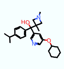 CC(C)c1ccc(C(O)(c2cncc(OC3CCCCC3)c2)C2(C)CN(C)C2)cc1